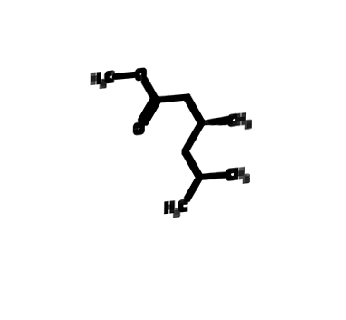 COC(=O)C[C@@H](C)CC(C)C